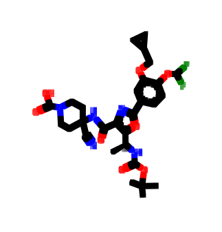 C[C@H](NC(=O)OC(C)(C)C)c1oc(-c2ccc(OC(F)F)c(OCC3CC3)c2)nc1C(=O)NC1(C#N)CCN(C(=O)O)CC1